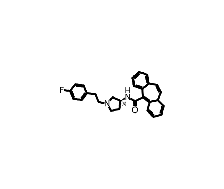 O=C(N[C@H]1CCN(CCc2ccc(F)cc2)C1)C1=C2C=CC=CC2C=Cc2ccccc21